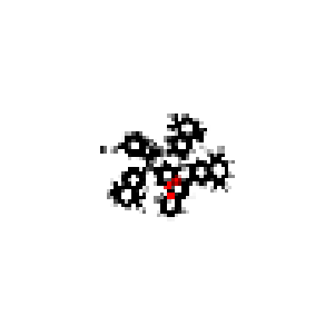 Cc1cc2c3c(c1)N(c1ccc4c(c1)C(C)(C)CCC4(C)C)c1c(sc4ccc(C(C)(C)C)cc14)B3c1cc3c(cc1N2c1cc2c(cc1-c1ccc4ccccc4c1)C(C)(C)CCC2(C)C)C(C)(C)CCC3(C)C